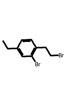 CCc1ccc(CCBr)c(Br)c1